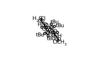 C=C(Cl)C(=O)OCCNC(=O)C(c1ccccc1)N1C(=O)c2cc(Oc3ccc(C(C)(C)C)cc3)c3c4c(Oc5ccc(C(C)(C)C)cc5)cc5c6c(cc(Oc7ccc(C(C)(C)C)cc7)c(c7c(Oc8ccc(C(C)(C)C)cc8)cc(c2c37)C1=O)c64)C(=O)N(C(C(=O)NCCOC(=O)C(C)Cl)c1ccccc1)C5=O